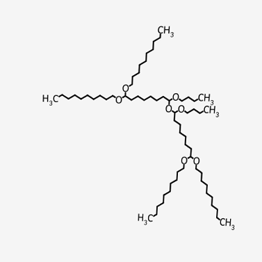 CCCCCCCCCCOC(CCCCCCC(OCCCC)OC(CCCCCCC(OCCCCCCCCCC)OCCCCCCCCCC)OCCCC)OCCCCCCCCCC